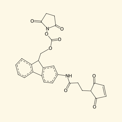 O=C(CCC1C(=O)C=CC1=O)Nc1ccc2c(c1)C(COC(=O)ON1C(=O)CCC1=O)c1ccccc1-2